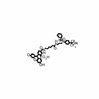 O=C(CCCCCNC(=O)c1ccc(-c2c3ccc(=O)cc-3oc3cc(O)ccc23)c(C(=O)O)c1)NCCCN(c1ccc(C(O)(C(F)(F)F)C(F)(F)F)cc1)S(=O)(=O)c1ccccc1